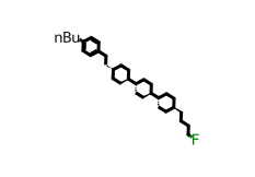 CCCCc1ccc(CC[C@H]2CC[C@H]([C@H]3CC[C@H]([C@H]4CC[C@H](CCCCF)CC4)CC3)CC2)cc1